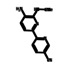 CONc1nc(-c2ccc(C#N)cn2)ccc1N